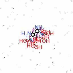 Nc1c(I)c(C(=O)N(CC(O)CO)CC(O)C(O)CO)c(I)c(-c2c(I)c(N)c(I)c(C(=O)N(CC(O)CO)CC(O)C(O)CO)c2I)c1I